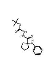 CC(C)(C)OC(=O)NNC(=O)C1(Nc2ccccc2)CCCC1